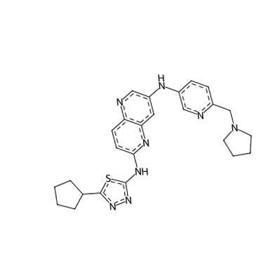 c1cc(CN2CCCC2)ncc1Nc1cnc2ccc(Nc3nnc(C4CCCC4)s3)nc2c1